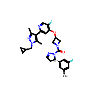 Cc1nn(CC2CC2)c(C)c1-c1cc(OC2CN(C(=O)N3N=CC[C@H]3c3cc(F)cc(C#N)c3)C2)c(F)cn1